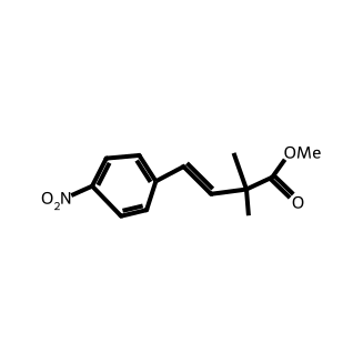 COC(=O)C(C)(C)/C=C/c1ccc([N+](=O)[O-])cc1